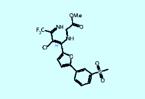 COC(=O)CN/C(=C(/Cl)C(=N)C(F)(F)F)c1ccc(-c2cccc(S(C)(=O)=O)c2)o1